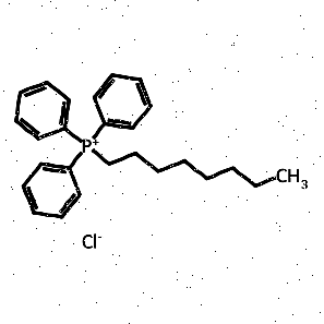 CCCCCCCC[P+](c1ccccc1)(c1ccccc1)c1ccccc1.[Cl-]